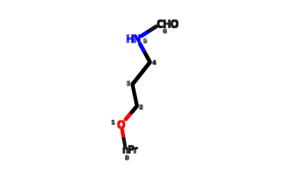 CCCOCCCNC=O